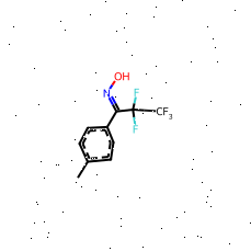 Cc1ccc(C(=NO)C(F)(F)C(F)(F)F)cc1